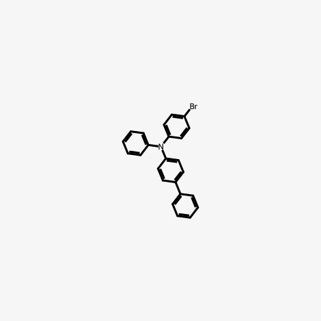 Brc1ccc(N(c2ccccc2)c2ccc(-c3ccccc3)cc2)cc1